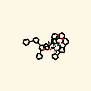 c1ccc(-c2cccc(-c3cc(C4=NC(c5ccccc5)NC(n5c6ccccc6c6ccc7c8ccccc8n(-c8cc(-c9ccccc9)ccc8-c8ccccc8)c7c65)=N4)cc(-c4ccccc4)c3)c2)cc1